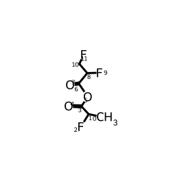 CC(F)C(=O)OC(=O)C(F)CF